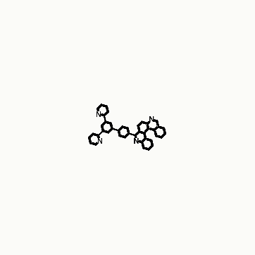 c1ccc(-c2cc(-c3ccc(-c4nc5ccccc5c5c4ccc4ncc6ccccc6c45)cc3)cc(-c3ccccn3)c2)nc1